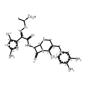 C[C@H](O/N=C(\C(=O)N[C@@H]1C(=O)N2C(C(=O)O)=C(C[n+]3ccc(N)c(N)c3)CSC12)c1nc(N)sc1Cl)C(=O)O